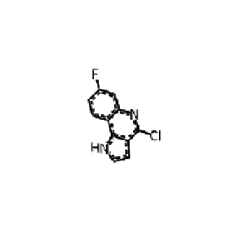 Fc1ccc2c(c1)nc(Cl)c1cc[nH]c12